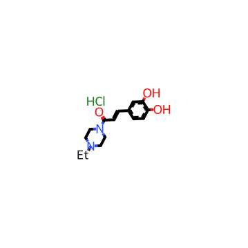 CCN1CCN(C(=O)C=Cc2ccc(O)c(O)c2)CC1.Cl